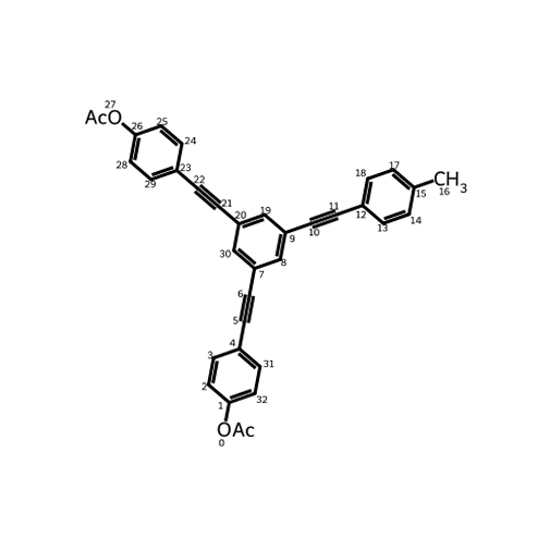 CC(=O)Oc1ccc(C#Cc2cc(C#Cc3ccc(C)cc3)cc(C#Cc3ccc(OC(C)=O)cc3)c2)cc1